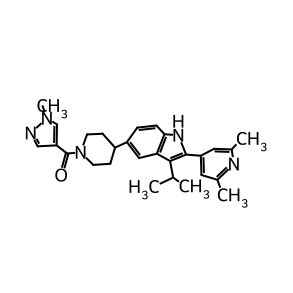 Cc1cc(-c2[nH]c3ccc(C4CCN(C(=O)c5cnn(C)c5)CC4)cc3c2C(C)C)cc(C)n1